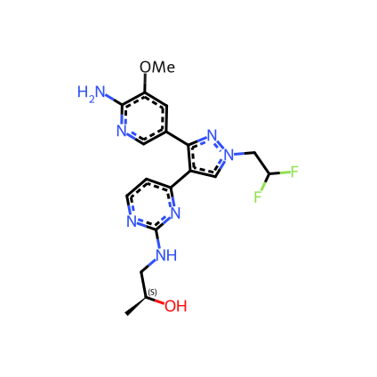 COc1cc(-c2nn(CC(F)F)cc2-c2ccnc(NC[C@H](C)O)n2)cnc1N